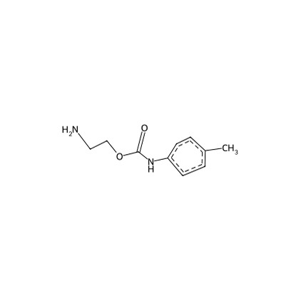 Cc1ccc(NC(=O)OCCN)cc1